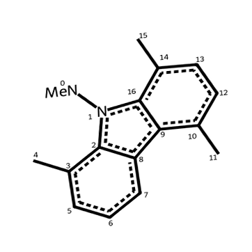 CNn1c2c(C)cccc2c2c(C)ccc(C)c21